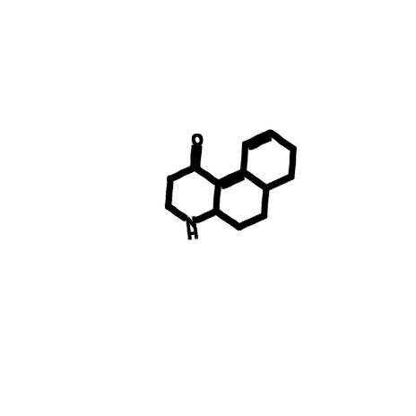 O=C1CCNC2CCC3CCC=CC3=C12